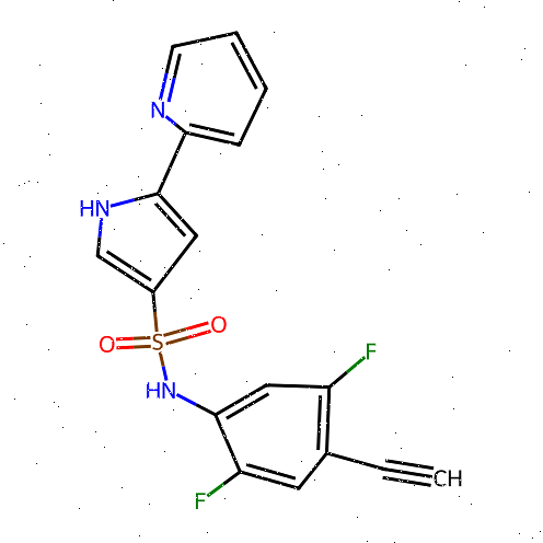 C#Cc1cc(F)c(NS(=O)(=O)c2c[nH]c(-c3ccccn3)c2)cc1F